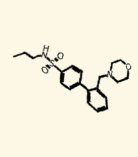 CCCNS(=O)(=O)c1ccc(-c2ccccc2CN2CCOCC2)cc1